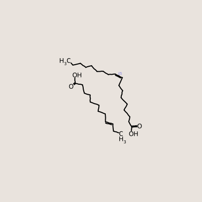 CCC=CCCCCCCCC(=O)O.CCCCCCCC/C=C\CCCCCCCC(=O)O